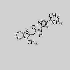 Cc1c(CC(=O)Nc2ncc(C(C)C)s2)sc2ccccc12